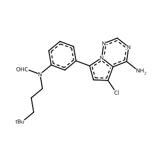 CC(C)(C)CCCN(C=O)c1cccc(-c2cc(Cl)c3c(N)ncnn23)c1